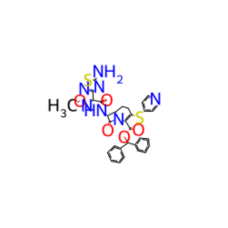 CON=C(C(=O)NC1C(=O)N2C(C(=O)OC(c3ccccc3)c3ccccc3)=C(Sc3ccncc3)CCC12)c1nsc(N)n1